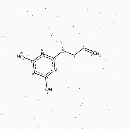 C=CCSc1nc(O)cc(O)n1